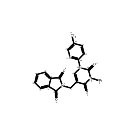 CC(C)n1c(=O)c(CN2C(=O)c3ccccc3C2=O)cn(-c2ccc(C(F)(F)F)cn2)c1=O